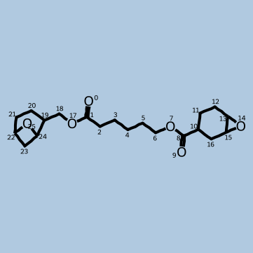 O=C(CCCCCOC(=O)C1CCC2OC2C1)OCC1CCC2CC1O2